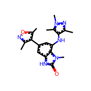 Cc1nn(C)c(C)c1Nc1cc(-c2c(C)noc2C)cc2[nH]c(=O)n(C)c12